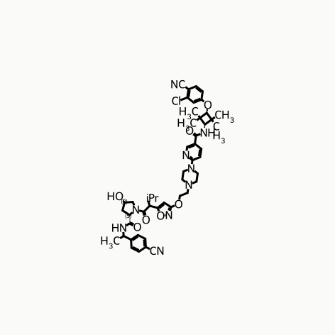 CC(NC(=O)[C@@H]1C[C@@H](O)CN1C(=O)C(c1cc(OCCN2CCN(c3ccc(C(=O)N[C@H]4C(C)(C)[C@H](Oc5ccc(C#N)c(Cl)c5)C4(C)C)cn3)CC2)no1)C(C)C)c1ccc(C#N)cc1